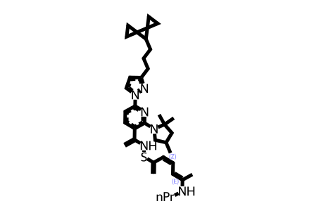 C=C(/C=C\C=C(/C)NCCC)SNC(=C)c1ccc(-n2ccc(CCCC3C4(CC4)C34CC4)n2)nc1N1CC(C)CC1(C)C